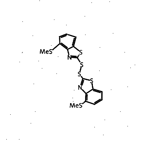 CSc1cccc2sc(SSc3nc4c(SC)cccc4s3)nc12